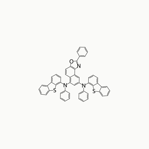 c1ccc(-c2nc3c(ccc4c(N(c5ccccc5)c5cccc6c5sc5ccccc56)cc(N(c5ccccc5)c5cccc6c5sc5ccccc56)cc43)o2)cc1